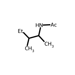 CCC(C)C(C)NC(C)=O